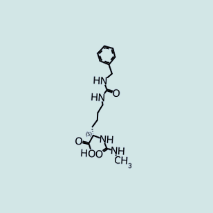 CNC(=O)N[C@@H](CCCCNC(=O)NCc1ccccc1)C(=O)O